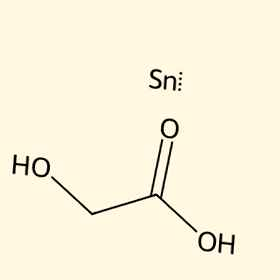 O=C(O)CO.[Sn]